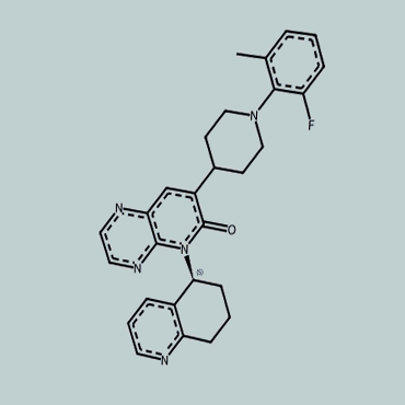 Cc1cccc(F)c1N1CCC(c2cc3nccnc3n([C@H]3CCCc4ncccc43)c2=O)CC1